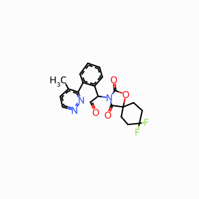 Cc1ccnnc1-c1ccccc1C(C=O)N1C(=O)OC2(CCC(F)(F)CC2)C1=O